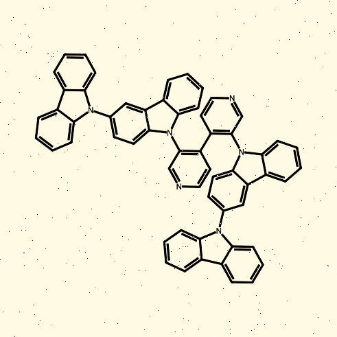 c1ccc2c(c1)c1ccccc1n2-c1ccc2c(c1)c1ccccc1n2-c1cnccc1-c1ccncc1-n1c2ccccc2c2cc(-n3c4ccccc4c4ccccc43)ccc21